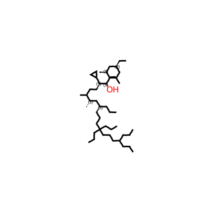 CCCC(CCC)CCCC(CCC)(CCC)CCC[C@H](CCC)C[C@H](C)C(C)CC[C@@H](C1CC1)[C@H](O)C1=C(C)C[C@H](CC)C[C@@H]1C